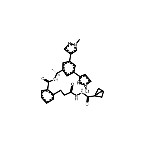 CCn1ccc(-c2cc(-c3cnn(C)c3)cc([C@@H](C)NC(=O)c3ccccc3CCC(=O)NNC(=O)C34CC(C3)C4)c2)n1